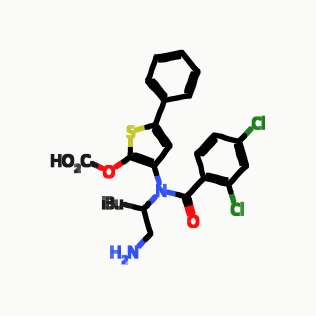 CCC(C)C(CN)N(C(=O)c1ccc(Cl)cc1Cl)c1cc(-c2ccccc2)sc1OC(=O)O